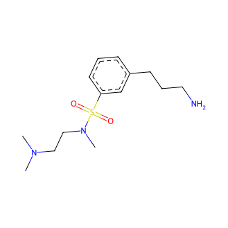 CN(C)CCN(C)S(=O)(=O)c1cccc(CCCN)c1